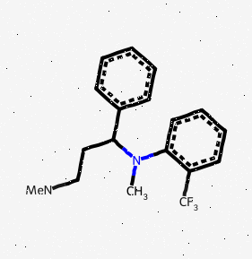 CNCCC(c1ccccc1)N(C)c1ccccc1C(F)(F)F